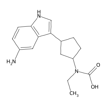 CCN(C(=O)O)C1CCC(c2c[nH]c3ccc(N)cc23)C1